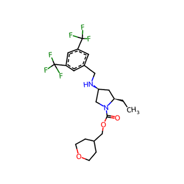 CC[C@@H]1C[C@H](NCc2cc(C(F)(F)F)cc(C(F)(F)F)c2)CN1C(=O)OCC1CCOCC1